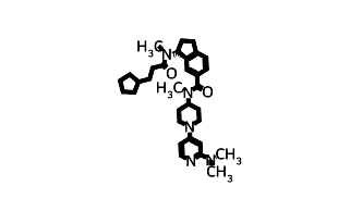 CN(C)c1cc(N2CCC(N(C)C(=O)c3ccc4c(c3)[C@H](N(C)C(=O)CCC3CCCC3)CC4)CC2)ccn1